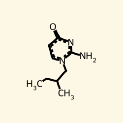 CCC(C)Cn1ccc(=O)nc1N